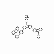 N#Cc1ccc(-n2c3ccc(-c4ccc5c(c4)C4(c6ccccc6-c6ccccc64)c4ccccc4-5)cc3c3cc(-c4ccc5c(c4)c4ccccc4n5-c4ccccc4)ccc32)cc1